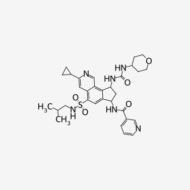 CC(C)CNS(=O)(=O)c1cc2c(c3cnc(C4CC4)cc13)C(NC(=O)NC1CCOCC1)CC2NC(=O)c1cccnc1